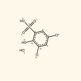 Cl.O=S(=O)(O)c1cc(Cl)cc(Cl)c1O